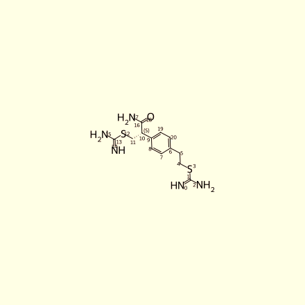 N=C(N)SCCc1ccc([C@H](CSC(=N)N)C(N)=O)cc1